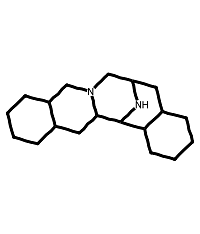 C1CCC2CN3CC4CC5CCCCC5C(N4)C3CC2C1